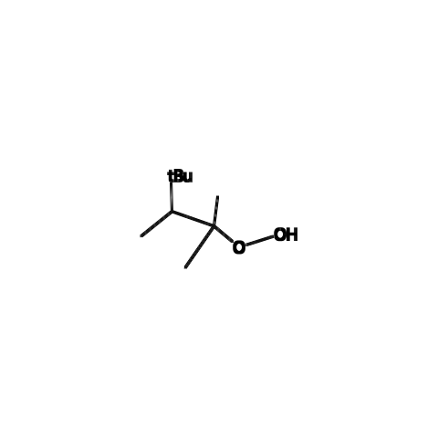 CC(C(C)(C)C)C(C)(C)OO